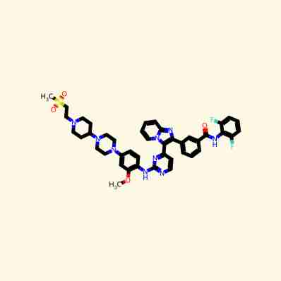 COc1cc(N2CCN(C3CCN(CCS(C)(=O)=O)CC3)CC2)ccc1Nc1nccc(-c2c(-c3cccc(C(=O)Nc4c(F)cccc4F)c3)nc3ccccn23)n1